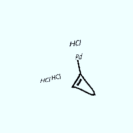 Cl.Cl.Cl.[Pd][C]1=CC1